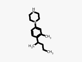 CCCC(C)c1ccc(N2CCNCC2)cc1C